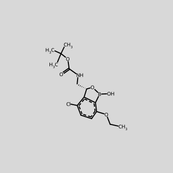 CCOc1ccc(Cl)c2c1B(O)O[C@H]2CNC(=O)OC(C)(C)C